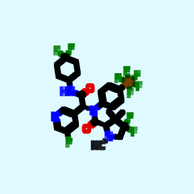 CC1(C)[C@H](C(=O)N(c2ccc(S(F)(F)(F)(F)F)cc2)[C@@H](C(=O)NC2CCC(F)(F)CC2)c2cncc(F)c2)N(C#N)CC1(F)F